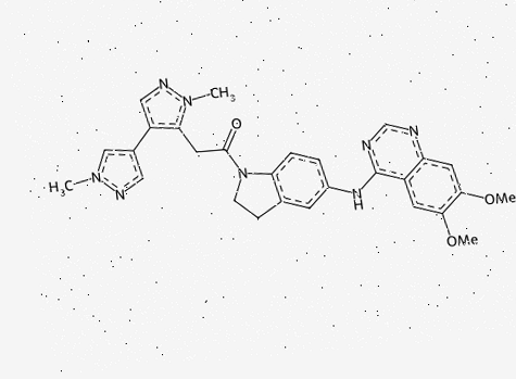 COc1cc2ncnc(Nc3ccc4c(c3)CCN4C(=O)Cc3c(-c4cnn(C)c4)cnn3C)c2cc1OC